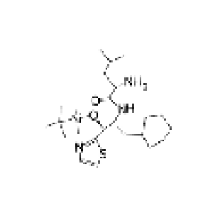 CC(C)C[C@H](N)C(=O)N[C@H](CC1CCCCC1)[C@H](O[Si](C)(C)C(C)(C)C)c1nccs1